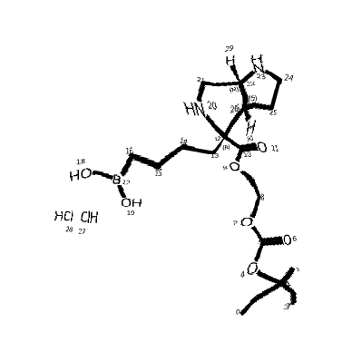 CC(C)(C)OC(=O)OCOC(=O)[C@]1(CCCCB(O)O)NC[C@@H]2NCC[C@@H]21.Cl.Cl